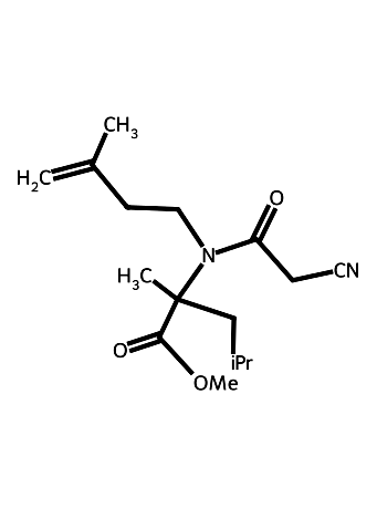 C=C(C)CCN(C(=O)CC#N)C(C)(CC(C)C)C(=O)OC